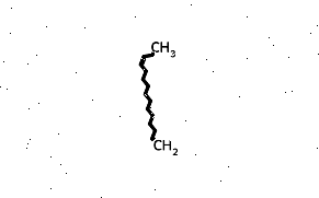 C=CCCCCCCCCC/C=C\CC